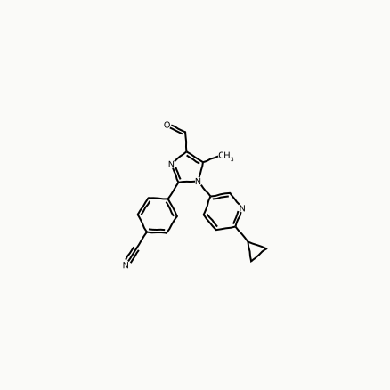 Cc1c(C=O)nc(-c2ccc(C#N)cc2)n1-c1ccc(C2CC2)nc1